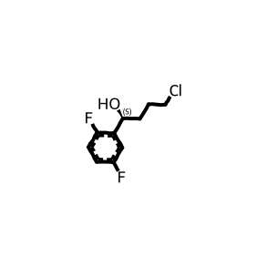 O[C@@H](CCCCl)c1cc(F)ccc1F